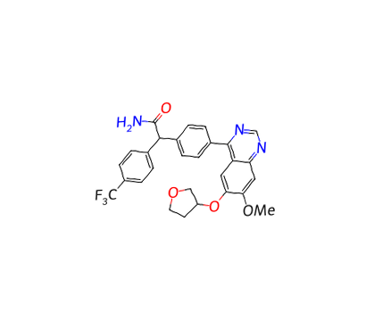 COc1cc2ncnc(-c3ccc(C(C(N)=O)c4ccc(C(F)(F)F)cc4)cc3)c2cc1OC1CCOC1